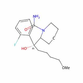 COCCCC[C@@](O)(c1ccccc1F)C1CCCCN1C(N)=O